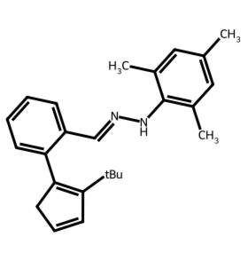 Cc1cc(C)c(N/N=C/c2ccccc2C2=C(C(C)(C)C)C=CC2)c(C)c1